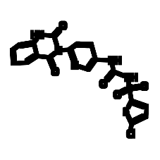 O=C(Nc1ccc(-n2c(=O)[nH]c3ccccc3c2=O)nc1)NS(=O)(=O)c1ccc(Cl)s1